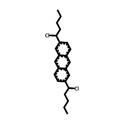 CCCCC(Cl)c1ccc2cc3cc(C(Cl)CCCC)ccc3cc2c1